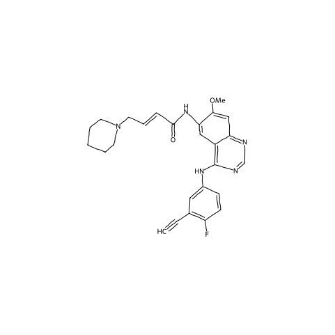 C#Cc1cc(Nc2ncnc3cc(OC)c(NC(=O)C=CCN4CCCCC4)cc23)ccc1F